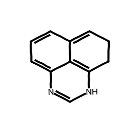 C1=Nc2cccc3c2=C(CCC=3)N1